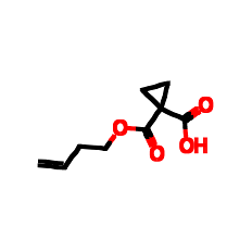 C=CCCOC(=O)C1(C(=O)O)CC1